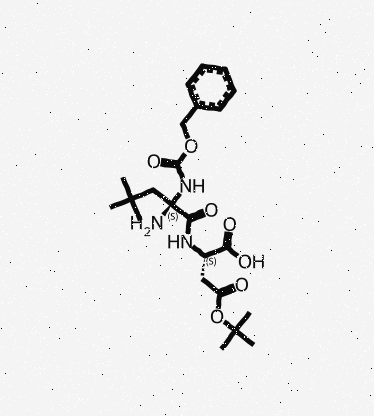 CC(C)(C)C[C@](N)(NC(=O)OCc1ccccc1)C(=O)N[C@@H](CC(=O)OC(C)(C)C)C(=O)O